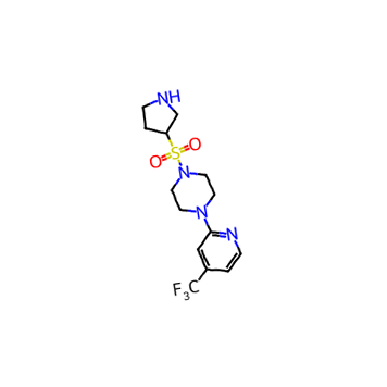 O=S(=O)(C1CCNC1)N1CCN(c2cc(C(F)(F)F)ccn2)CC1